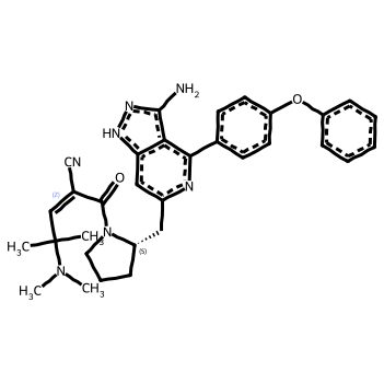 CN(C)C(C)(C)/C=C(/C#N)C(=O)N1CCC[C@H]1Cc1cc2[nH]nc(N)c2c(-c2ccc(Oc3ccccc3)cc2)n1